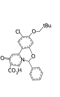 CC(C)(C)COc1cc2c(cc1Cl)-c1cc(=O)c(C(=O)O)cn1C(c1ccccc1)O2